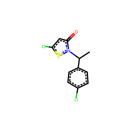 CC(c1ccc(Cl)cc1)n1sc(Cl)cc1=O